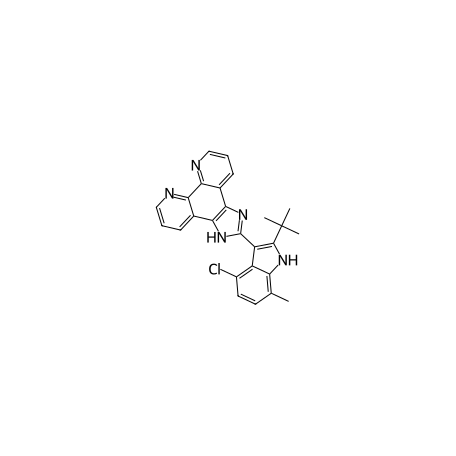 Cc1ccc(Cl)c2c(-c3nc4c5cccnc5c5ncccc5c4[nH]3)c(C(C)(C)C)[nH]c12